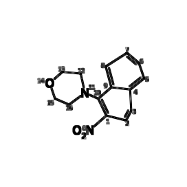 O=[N+]([O-])c1ccc2ccccc2c1N1CCOCC1